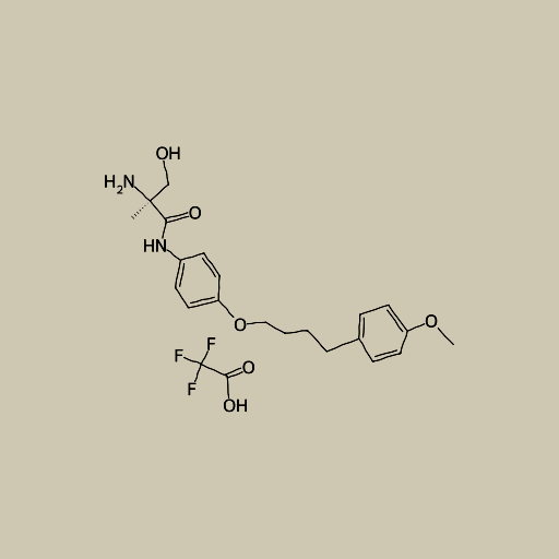 COc1ccc(CCCCOc2ccc(NC(=O)[C@@](C)(N)CO)cc2)cc1.O=C(O)C(F)(F)F